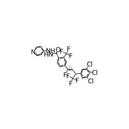 O=C(NNc1ccncc1)c1ccc(/C(F)=C/C(c2cc(Cl)c(Cl)c(Cl)c2)C(F)(F)F)cc1C(F)(F)F